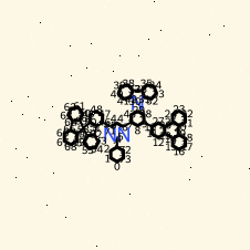 c1ccc(-c2nc(-c3cc(-c4ccc5c6ccccc6c6ccccc6c5c4)cc(-n4c5ccccc5c5ccccc54)c3)cc(-c3cccc4c3-c3ccccc3C43c4ccccc4-c4ccccc43)n2)cc1